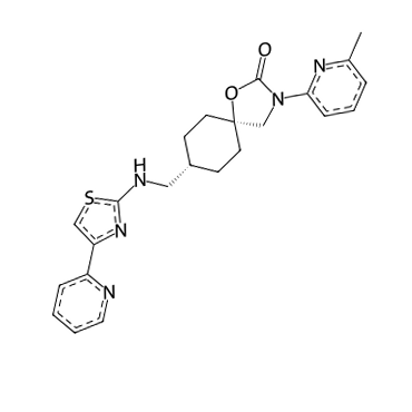 Cc1cccc(N2C[C@]3(CC[C@@H](CNc4nc(-c5ccccn5)cs4)CC3)OC2=O)n1